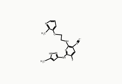 [C-]#[N+]c1cc(F)c(Nc2cc(C)[nH]n2)nc1NCCOc1cccnc1C